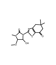 COC1C(O)N(c2nc3c(s2)C(=O)CC(C)(C)C3)C(=O)N1C